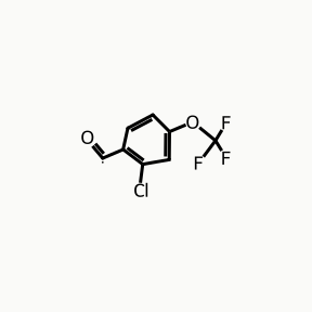 O=[C]c1ccc(OC(F)(F)F)cc1Cl